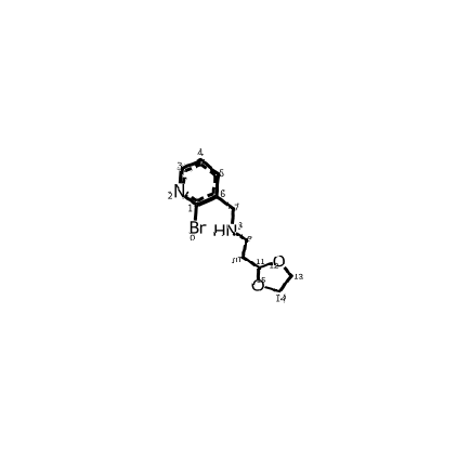 Brc1ncccc1CNCCC1OCCO1